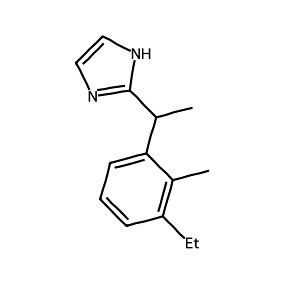 CCc1cccc(C(C)c2ncc[nH]2)c1C